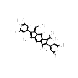 N#CC(C#N)=C1C(c2cc(C(F)(F)F)nc(C(F)(F)F)c2)=C(C#N)c2cc3c(c(C#N)c21)C(=C(C#N)C#N)C(c1cc(C(F)(F)F)nc(C(F)(F)F)c1)=C3C#N